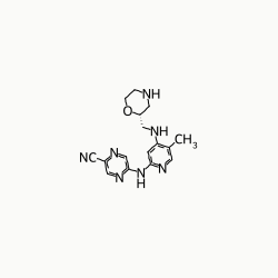 Cc1cnc(Nc2cnc(C#N)cn2)cc1NC[C@H]1CNCCO1